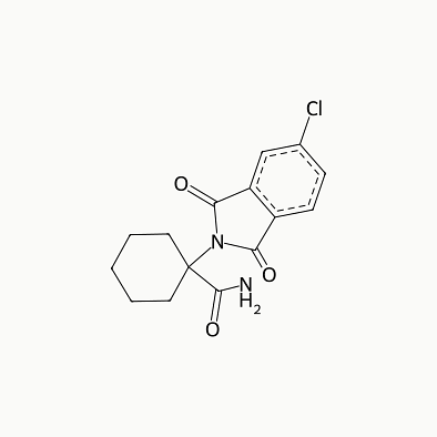 NC(=O)C1(N2C(=O)c3ccc(Cl)cc3C2=O)CCCCC1